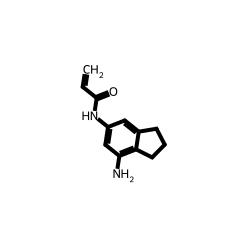 C=CC(=O)Nc1cc(N)c2c(c1)CCC2